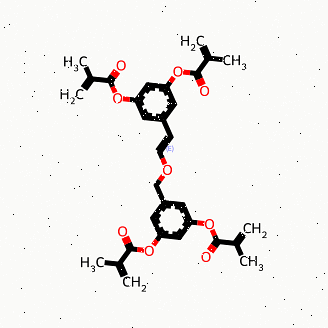 C=C(C)C(=O)Oc1cc(/C=C/OCc2cc(OC(=O)C(=C)C)cc(OC(=O)C(=C)C)c2)cc(OC(=O)C(=C)C)c1